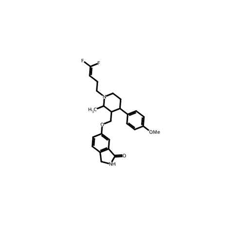 COc1ccc(C2CCN(CCC=C(F)F)C(C)C2COc2ccc3c(c2)C(=O)NC3)cc1